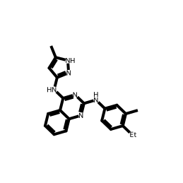 CCc1ccc(Nc2nc(Nc3cc(C)[nH]n3)c3ccccc3n2)cc1C